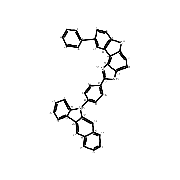 c1ccc(-c2ccc3sc4ccc5sc(-c6ccc(-n7c8ccccc8c8cc9ccccc9cc87)cc6)nc5c4c3c2)cc1